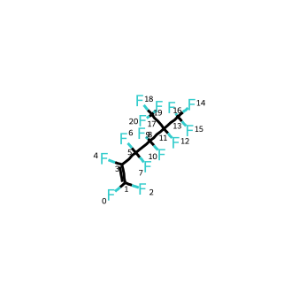 FC(F)=C(F)C(F)(F)C(F)(F)C(F)(C(F)(F)F)C(F)(F)F